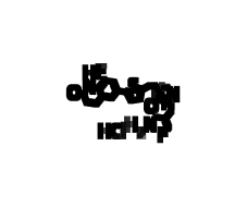 Cl.NC/C(=C\F)Cn1ncn(Cc2ccc(-c3cc(F)c4[nH]c(=O)ccc4c3)s2)c1=O